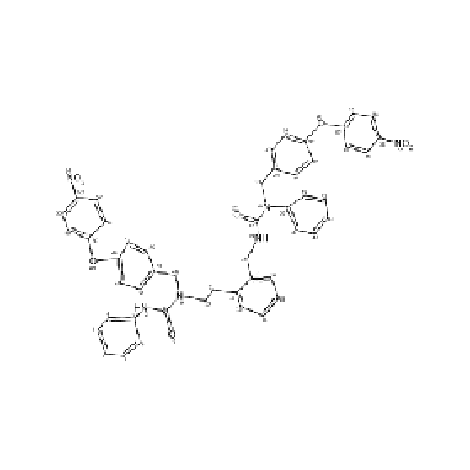 O=C(Nc1ccccc1)N(CCc1ccccc1CNC(=O)N(Cc1ccc(Oc2ccc([N+](=O)[O-])cc2)cc1)c1ccccc1)Cc1ccc(Oc2ccc([N+](=O)[O-])cc2)cc1